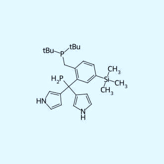 CC(C)(C)P(Cc1ccc([Si](C)(C)C)cc1C(P)(c1cc[nH]c1)c1cc[nH]c1)C(C)(C)C